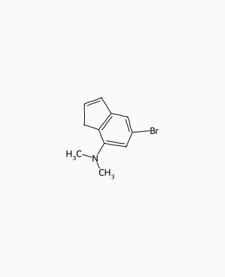 CN(C)c1cc(Br)cc2c1CC=C2